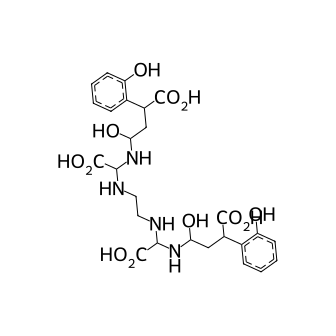 O=C(O)C(NCCNC(NC(O)CC(C(=O)O)c1ccccc1O)C(=O)O)NC(O)CC(C(=O)O)c1ccccc1O